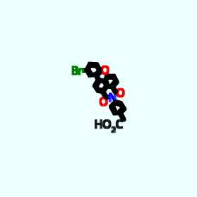 O=C(O)Cc1ccc(-n2c(=O)c3ccc4oc5ccc(Br)cc5c5ccc(c2=O)c3c45)cc1